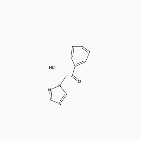 Cl.O=C(Cn1cncn1)c1ccccc1